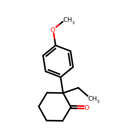 CCC1(c2ccc(OC)cc2)CCCCC1=O